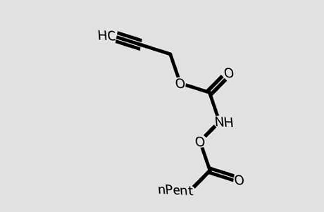 C#CCOC(=O)NOC(=O)CCCCC